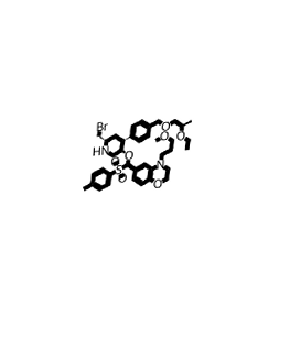 CCO[C@H](C)COCc1ccc([C@H]2C[C@@H](CBr)NC[C@@H]2OC(c2ccc3c(c2)N(CCCOC)CCO3)S(=O)(=O)c2ccc(C)cc2)cc1